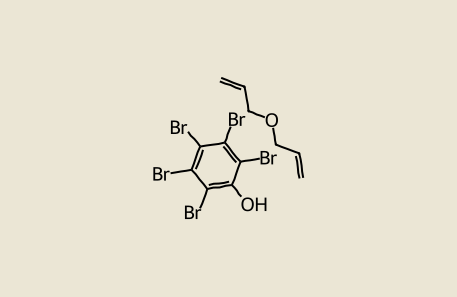 C=CCOCC=C.Oc1c(Br)c(Br)c(Br)c(Br)c1Br